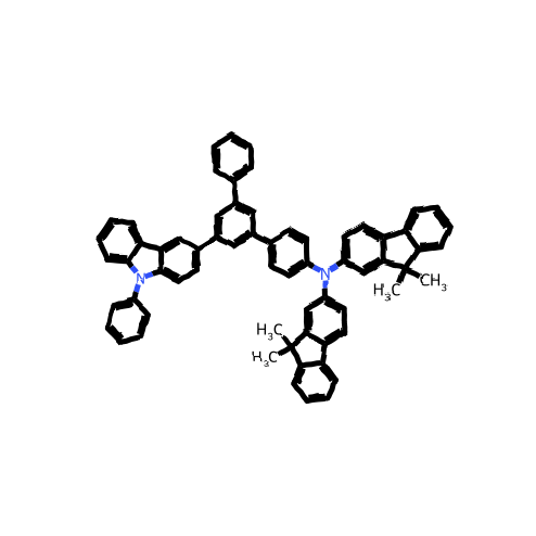 CC1(C)c2ccccc2-c2ccc(N(c3ccc(-c4cc(-c5ccccc5)cc(-c5ccc6c(c5)c5ccccc5n6-c5ccccc5)c4)cc3)c3ccc4c(c3)C(C)(C)c3ccccc3-4)cc21